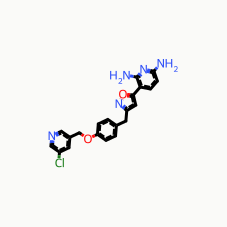 Nc1ccc(-c2cc(Cc3ccc(OCc4cncc(Cl)c4)cc3)no2)c(N)n1